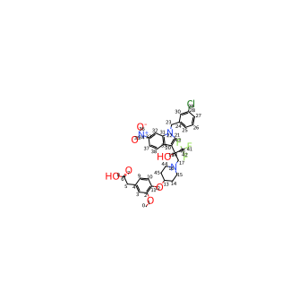 COc1cc(CC(=O)O)ccc1OC1CCN(CC(O)(c2cn(Cc3cccc(Cl)c3)c3cc([N+](=O)[O-])ccc23)C(F)(F)F)CC1